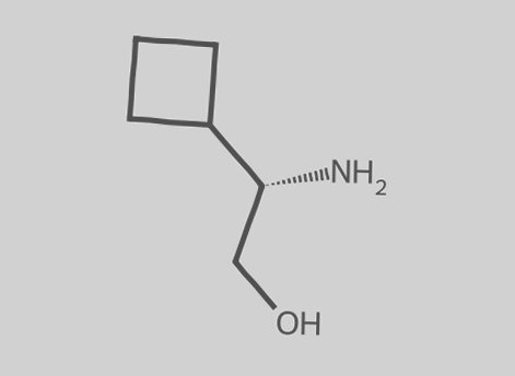 N[C@H](CO)C1CCC1